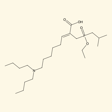 CCCCN(CCCC)CCCCC/C=C(\CP(=O)(CC(C)C)OCC)C(=O)O